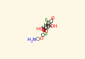 C[C@]12C=CC(=O)C=C1[C@@H](F)C[C@H]1[C@@H]3C[C@H]4O[C@@H](c5ccc(OC6CCC(N)CC6)cc5F)O[C@@]4(C(=O)CO)[C@@]3(C)C[C@H](O)[C@@]12F